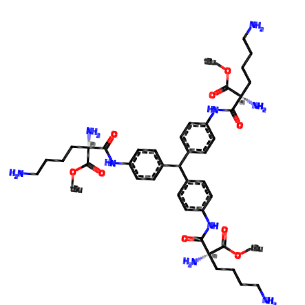 CC(C)(C)OC(=O)[C@@](N)(CCCCN)C(=O)Nc1ccc(C(c2ccc(NC(=O)[C@](N)(CCCCN)C(=O)OC(C)(C)C)cc2)c2ccc(NC(=O)[C@](N)(CCCCN)C(=O)OC(C)(C)C)cc2)cc1